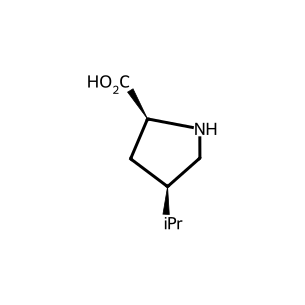 CC(C)[C@@H]1CN[C@H](C(=O)O)C1